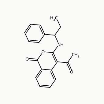 CCC(Nc1oc(=O)c2ccccc2c1C(C)=O)c1ccccc1